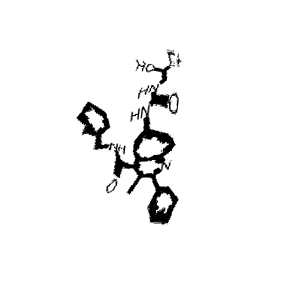 CCC(O)CNC(=O)Nc1ccc2nc(-c3ccccc3)c(C)c(C(=O)NCc3ccccc3)c2c1